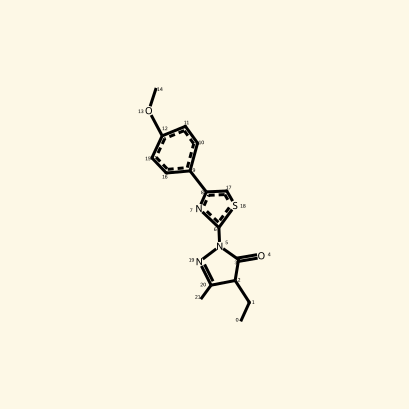 CCC1C(=O)N(c2nc(-c3ccc(OC)cc3)cs2)N=C1C